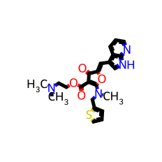 CN(C)CCOC(=O)C1=C(N(C)Cc2cccs2)OC(=Cc2c[nH]c3ncccc23)C1=O